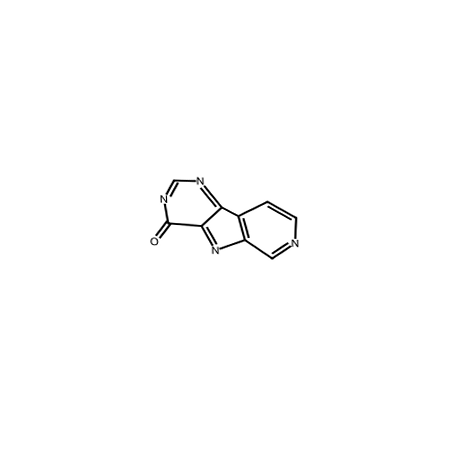 O=C1N=CN=C2C1=Nc1cnccc12